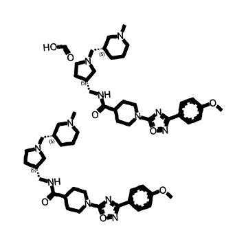 COc1ccc(-c2noc(N3CCC(C(=O)NC[C@@H]4CCN(C[C@H]5CCCN(C)C5)C4)CC3)n2)cc1.COc1ccc(-c2noc(N3CCC(C(=O)NC[C@@H]4CCN(C[C@H]5CCCN(C)C5)C4)CC3)n2)cc1.O=CO